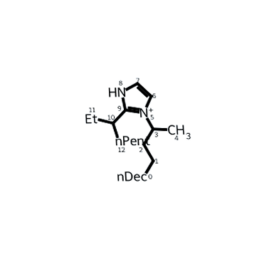 CCCCCCCCCCCCC(C)[n+]1cc[nH]c1C(CC)CCCCC